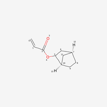 C=CC(=O)OC1C[C@H]2CC[C@@H]1C2